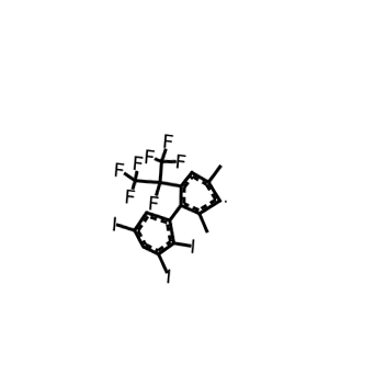 Cc1[c]c(C)c(-c2cc(I)cc(I)c2I)c(C(F)(C(F)(F)F)C(F)(F)F)c1